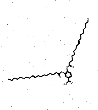 CCCCCCCCC=CCCCCCCCC(=O)Oc1ccc(C(=O)O)cc1OC(=O)CCCCCCCC=CCCCCCCCC